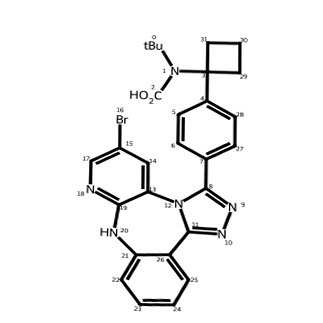 CC(C)(C)N(C(=O)O)C1(c2ccc(-c3nnc4n3-c3cc(Br)cnc3Nc3ccccc3-4)cc2)CCC1